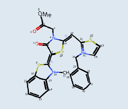 COC(=O)Cn1c(=O)/c(=C2\Sc3ccccc3N2C)s/c1=C\c1scc[n+]1Cc1ccccc1